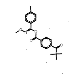 CON=C(OC(=O)c1ccc(C(=O)C(C)(C)C)cc1)c1ccc(C)cc1